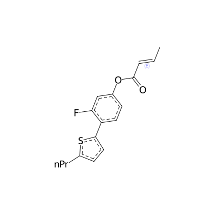 C/C=C/C(=O)Oc1ccc(-c2ccc(CCC)s2)c(F)c1